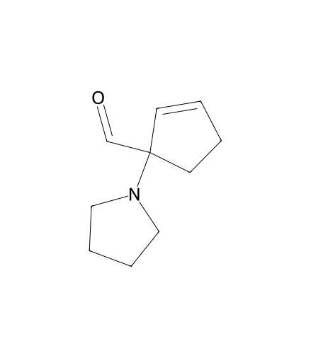 O=CC1(N2CCCC2)C=CCC1